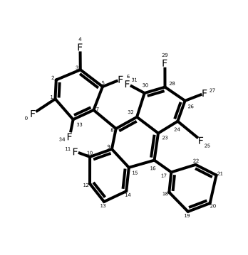 Fc1cc(F)c(F)c(-c2c3c(F)cccc3c(-c3ccccc3)c3c(F)c(F)c(F)c(F)c23)c1F